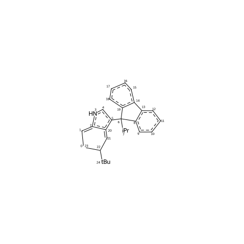 C/C=c1/[nH]cc(C2(C(C)C)c3ccccc3-c3ccccc32)/c1=C/C(C)C(C)(C)C